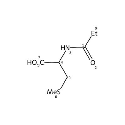 CCC(=O)NC(CSC)C(=O)O